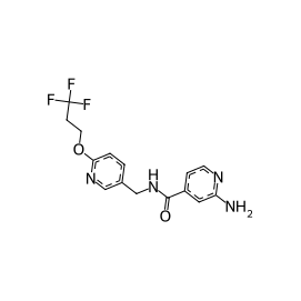 Nc1cc(C(=O)NCc2ccc(OCCC(F)(F)F)nc2)ccn1